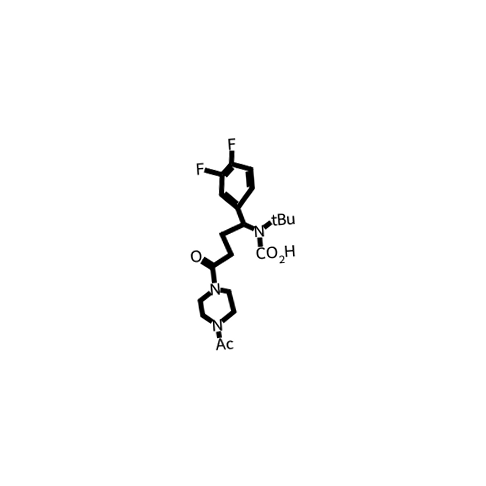 CC(=O)N1CCN(C(=O)CCC(c2ccc(F)c(F)c2)N(C(=O)O)C(C)(C)C)CC1